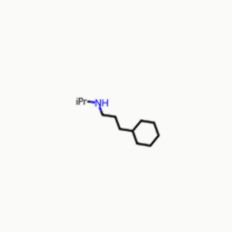 CC(C)NCCCC1CCCCC1